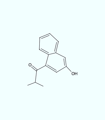 CC(C)C(=O)c1cc(O)cc2ccccc12